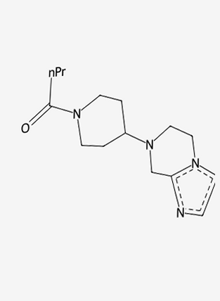 CCCC(=O)N1CCC(N2CCn3ccnc3C2)CC1